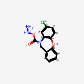 NNOC(=O)N1Cc2ccccc2Oc2ccc(Cl)cc21